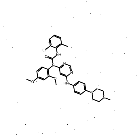 COc1ccc(N(C(=O)Nc2c(C)cccc2Cl)c2cc(Nc3ccc(N4CCN(C)CC4)cc3)ncn2)c(OC)c1